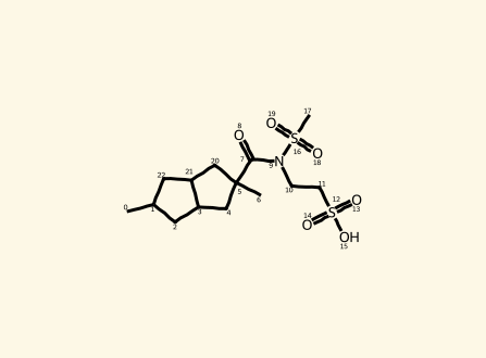 CC1CC2CC(C)(C(=O)N(CCS(=O)(=O)O)S(C)(=O)=O)CC2C1